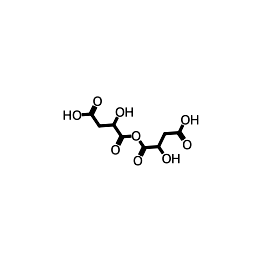 O=C(O)CC(O)C(=O)OC(=O)C(O)CC(=O)O